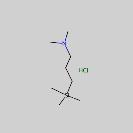 CN(C)CCC[Si](C)(C)C.Cl